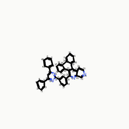 c1ccc(-c2cc(-c3ccccc3)nc(-c3cccc(-c4nc5cnccc5c5c6ccccc6c6ccccc6c45)c3)n2)cc1